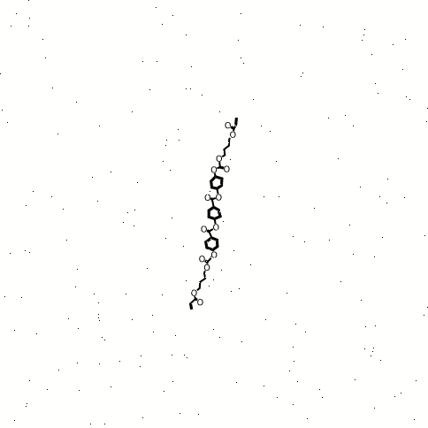 C=CC(=O)OCCCCOC(=O)Oc1ccc(OC(=O)c2ccc(OC(=O)c3ccc(OC(=O)OCCCCOC(=O)C=C)cc3)cc2)cc1